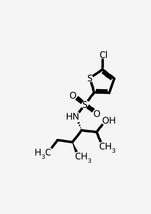 CC[C@H](C)[C@H](NS(=O)(=O)c1ccc(Cl)s1)C(C)O